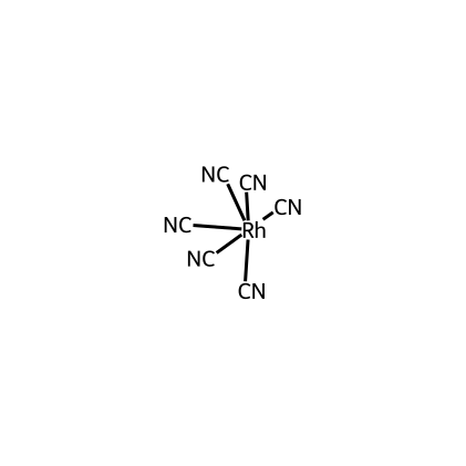 N#[C][Rh]([C]#N)([C]#N)([C]#N)([C]#N)[C]#N